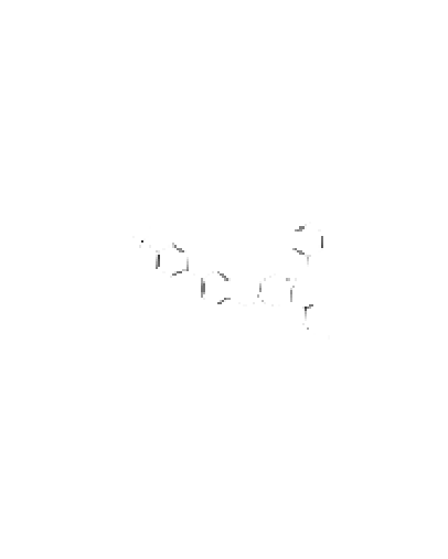 CC(C)NC(=O)[C@H]1CN(Cc2ccc(-c3ccc(C(O)(C(F)(F)F)C(F)(F)F)cc3)cc2)CCN1Cc1ccncc1